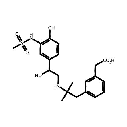 CC(C)(Cc1cccc(CC(=O)O)c1)NCC(O)c1ccc(O)c(NS(C)(=O)=O)c1